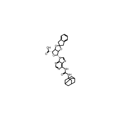 O=C(Nc1ncnc2c1ncn2[C@@H]1O[C@H](C(=O)O)C2OC3(Cc4ccccc4C3)OC21)NC12CC3CC(CC(C3)C1)C2